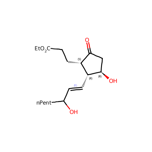 CCCCCC(O)/C=C/[C@H]1[C@H](O)CC(=O)[C@H]1CCC(=O)OCC